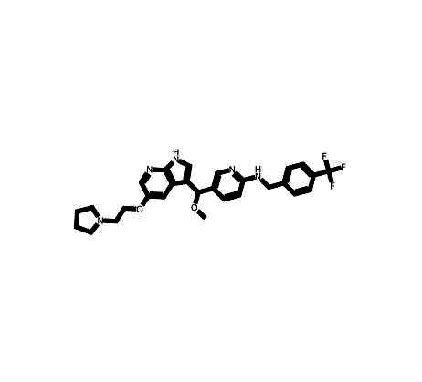 COC(c1ccc(NCc2ccc(C(F)(F)F)cc2)nc1)c1c[nH]c2ncc(OCCN3CCCC3)cc12